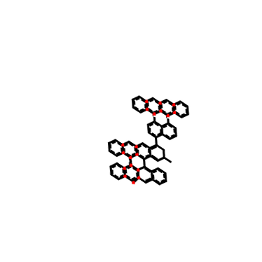 CC1C=c2c(C3=c4ccccc4=CC(C)C3P(c3ccccc3)c3ccccc3)c(P(c3ccccc3)c3ccccc3)ccc2=C(c2ccc(P(c3ccccc3)c3ccccc3)c3c(P(c4ccccc4)c4ccccc4)cccc23)C1